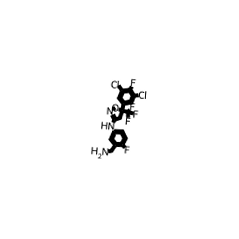 NCc1cc(NC2=NOC(c3cc(Cl)c(F)c(Cl)c3)(C(F)(F)F)C2)ccc1F